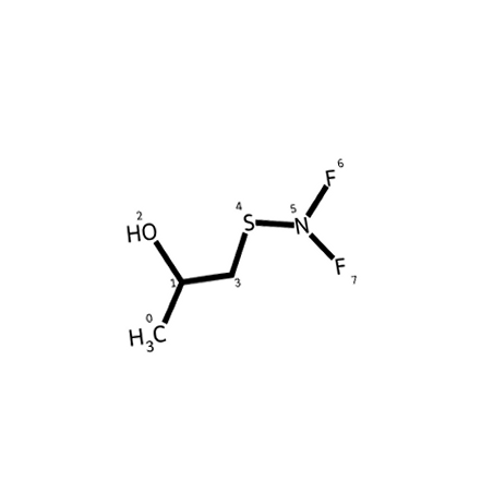 CC(O)CSN(F)F